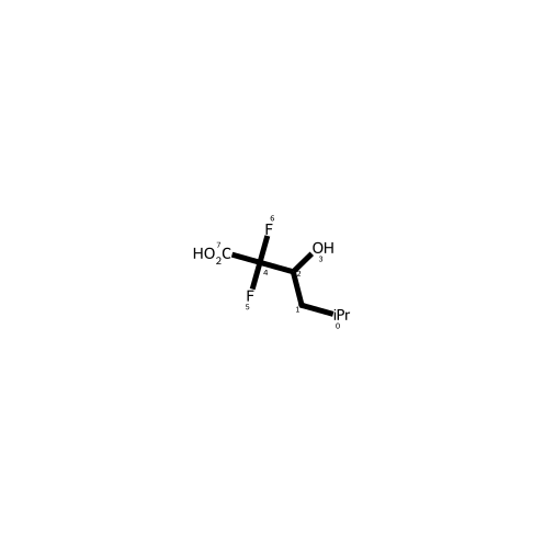 CC(C)CC(O)C(F)(F)C(=O)O